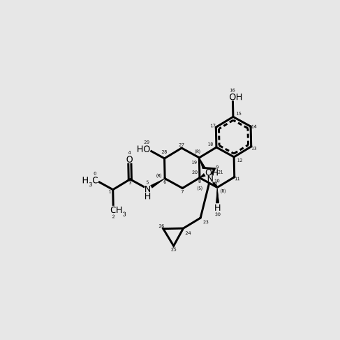 CC(C)C(=O)N[C@@H]1C[C@@]2(O)[C@H]3Cc4ccc(O)cc4[C@@]2(CCN3CC2CC2)CC1O